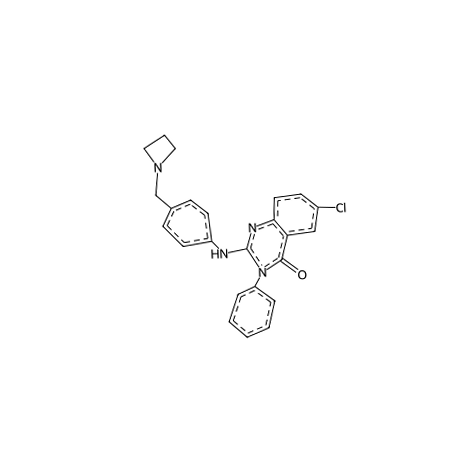 O=c1c2cc(Cl)ccc2nc(Nc2ccc(CN3CCC3)cc2)n1-c1ccccc1